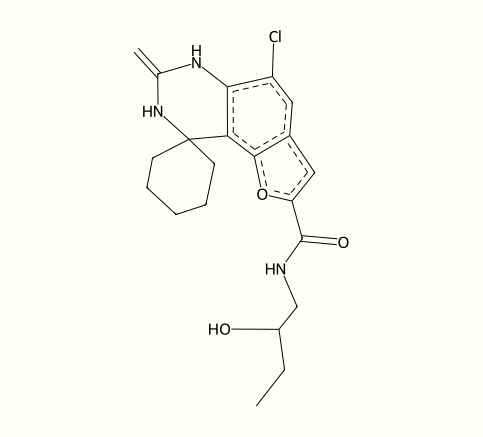 C=C1Nc2c(Cl)cc3cc(C(=O)NCC(O)CC)oc3c2C2(CCCCC2)N1